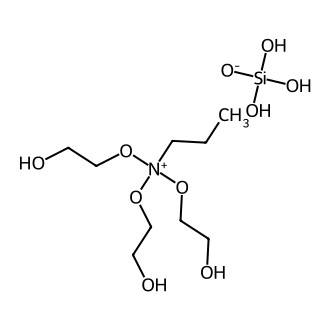 CCC[N+](OCCO)(OCCO)OCCO.[O-][Si](O)(O)O